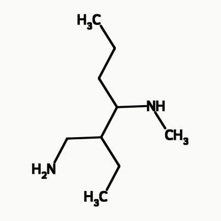 CCCC(NC)C(CC)CN